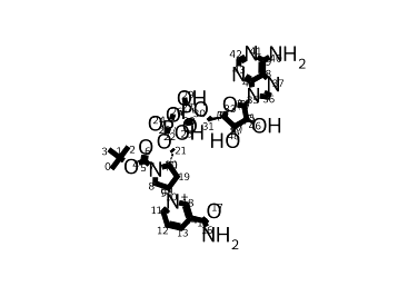 CC(C)(C)OC(=O)N1C[C@@H]([n+]2cccc(C(N)=O)c2)C[C@H]1COP(=O)(O)OP(=O)(O)OC[C@H]1O[C@@H](n2cnc3c(N)ncnc32)[C@@H](O)[C@H]1O